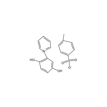 Cc1ccc(S(=O)(=O)[O-])cc1.Oc1ccc(O)c(-[n+]2ccccc2)c1